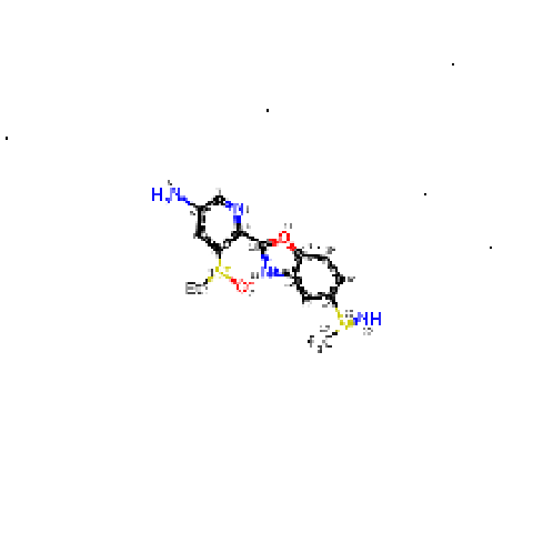 CC[S+]([O-])c1cc(N)cnc1-c1nc2cc(S(=N)C(F)(F)F)ccc2o1